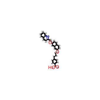 O=C(O)c1ccc(CCCOc2ccc3ccc(OCc4ccc5ccccc5n4)cc3c2)cc1